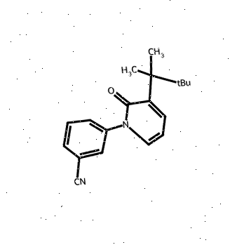 CC(C)(C)C(C)(C)c1cccn(-c2cccc(C#N)c2)c1=O